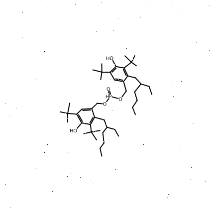 CCCCC(CC)Cc1c(CO[PH](=O)OCc2cc(C(C)(C)C)c(O)c(C(C)(C)C)c2CC(CC)CCCC)cc(C(C)(C)C)c(O)c1C(C)(C)C